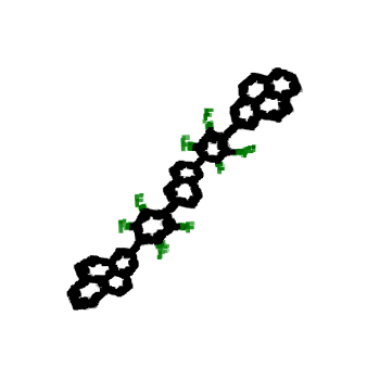 Fc1c(F)c(-c2cc3ccc4cccc5ccc(c2)c3c45)c(F)c(F)c1-c1ccc2cc(-c3c(F)c(F)c(-c4cc5ccc6cccc7ccc(c4)c5c67)c(F)c3F)ccc2c1